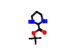 CC(C)(C)OC(=O)C1NCCCN1